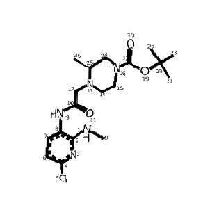 CNc1nc(Cl)ccc1NC(=O)CN1CCN(C(=O)OC(C)(C)C)C[C@@H]1C